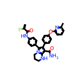 C=C(F)C(=O)Nc1ccc(-c2c(-c3ccc(Oc4cccc(C)n4)cc3)c(C(N)=O)c3n2CCCN3)cc1